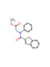 COC(=O)CN(C(=O)C1=Cc2ccccc2C1)c1ccccc1